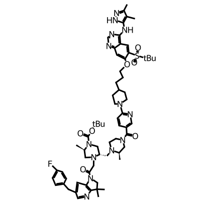 Cc1n[nH]c(Nc2ncnc3cc(OCCCC4CCN(c5ccc(C(=O)N6CCN(C[C@H]7CN(C(=O)OC(C)(C)C)[C@H](C)CN7CC(=O)N7CC(C)(C)c8ncc(Cc9ccc(F)cc9)cc87)[C@H](C)C6)cn5)CC4)c(S(=O)(=O)C(C)(C)C)cc23)c1C